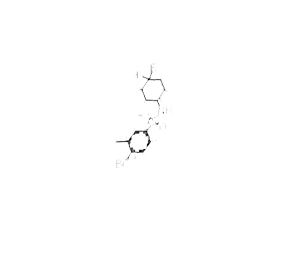 Cc1cc(S(=O)(=O)NC2CCC(F)(F)CC2)ccc1Br